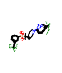 CC(C)(C1CCN(c2ccc(C(F)(F)F)cn2)CC1)S(=O)(=O)c1cccc(C(F)(F)F)c1